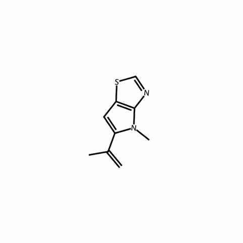 C=C(C)c1cc2scnc2n1C